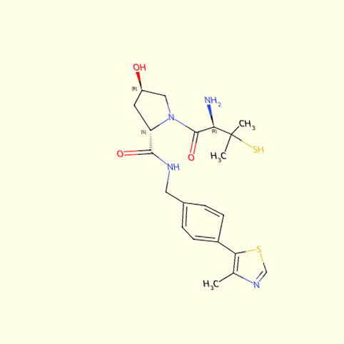 Cc1ncsc1-c1ccc(CNC(=O)[C@@H]2C[C@@H](O)CN2C(=O)[C@@H](N)C(C)(C)S)cc1